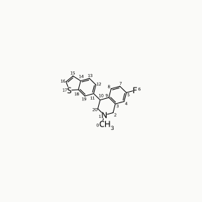 CN1Cc2cc(F)ccc2C(c2ccc3ccsc3c2)C1